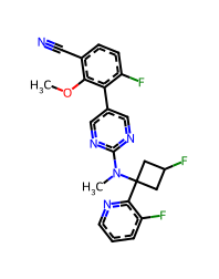 COc1c(C#N)ccc(F)c1-c1cnc(N(C)C2(c3ncccc3F)CC(F)C2)nc1